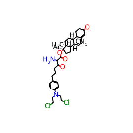 CC(=O)[C@@]1(OC(=O)C(N)C(=O)CCCc2ccc(N(CCCl)CCCl)cc2)CC[C@H]2[C@@H]3CCC4=CC(=O)CC[C@]4(C)[C@H]3CC[C@@]21C